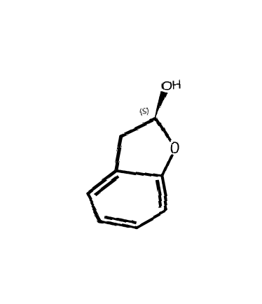 O[C@@H]1Cc2ccccc2O1